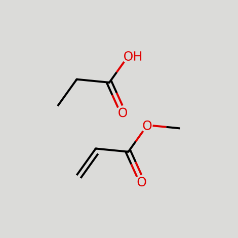 C=CC(=O)OC.CCC(=O)O